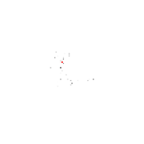 CC(C(=O)OCc1ccccc1)c1ccc2c(c1)c1ccc(N(c3ccccc3)c3ccc4c(c3)-c3cccc5c3-c3ccccc3-c3cccc-5c3-4)cc1n2-c1ccccc1